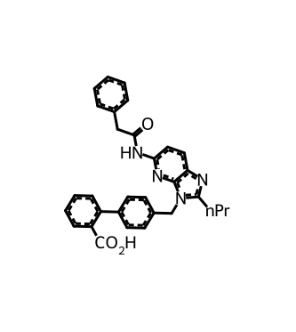 CCCc1nc2ccc(NC(=O)Cc3ccccc3)nc2n1Cc1ccc(-c2ccccc2C(=O)O)cc1